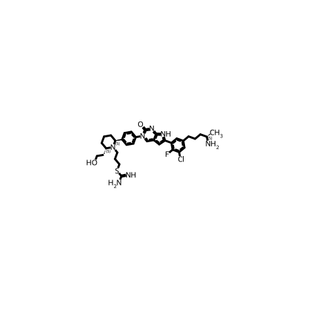 C[C@H](N)CCCc1cc(Cl)c(F)c(-c2cc3cn(-c4ccc([C@@H]5CCC[C@@H](CCO)N5CCCSC(=N)N)cc4)c(=O)nc3[nH]2)c1